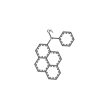 CN(c1ccccc1)c1ccc2ccc3cccc4ccc1c2c34